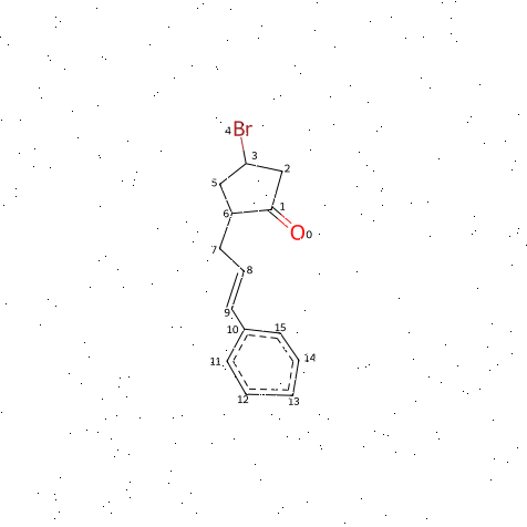 O=C1CC(Br)CC1C/C=C/c1ccccc1